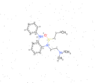 CCC[S+]([O-])N(CCN(C)C)c1ccccc1Nc1cc[c]cc1